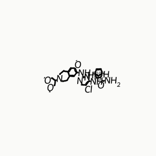 COCC(COC)N1CCc2cc(Nc3ncc(Cl)c(N[C@H]4[C@@H](C(N)=O)[C@@H]5C=C[C@H]4C5)n3)c(OC)cc2CC1